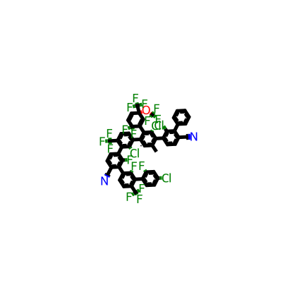 Cc1[c]c(-c2ccc(C(F)(F)F)c(-c3ccc(C#N)c(-c4ccc(C(F)(F)F)c(-c5ccc(Cl)cc5F)c4F)c3F)c2Cl)c(C2=CC(OC(F)(F)F)(C(F)(F)F)C=CC2(F)F)c(Cl)c1-c1ccc(C#N)c(-c2ccccc2)c1Cl